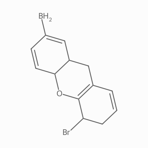 BC1=CC2CC3=C(OC2C=C1)C(Br)CC=C3